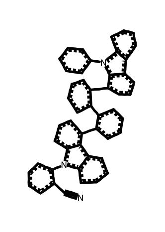 N#Cc1ccccc1-n1c2ccccc2c2c(-c3ccccc3-c3ccccc3-c3cccc4c5ccccc5n(-c5ccccc5)c34)cccc21